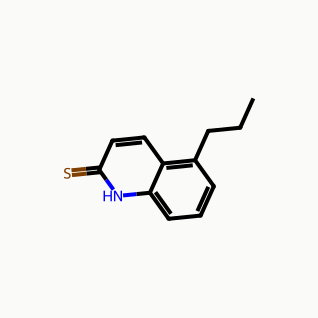 CCCc1cccc2[nH]c(=S)ccc12